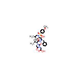 COc1ccc(S(=O)(=O)N(CC(C)C)C[C@@H](O)[C@H](Cc2ccccc2)NC(=O)[C@H](C(C)C)N2CC(=O)N(CC(=O)O)C2=O)cc1